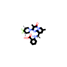 Cc1cc([C@@H](C)Nc2ccccc2C(=O)O)c2nc(N3C[C@@H](C)C(F)(F)[C@@H](C)C3)c(C)c(=O)n2c1